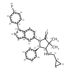 CC1(C)C(=O)N(c2ccc3c(cnn3-c3ccc(F)cc3)n2)[C@H](c2ccccc2)C1NCC1CC1